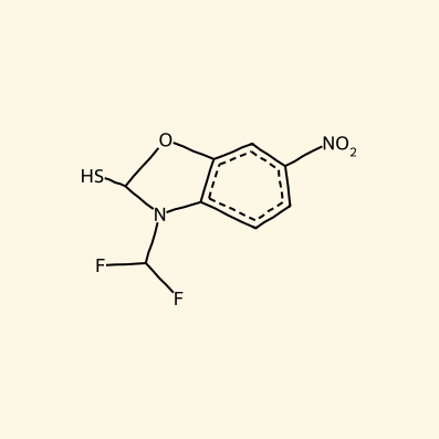 O=[N+]([O-])c1ccc2c(c1)OC(S)N2C(F)F